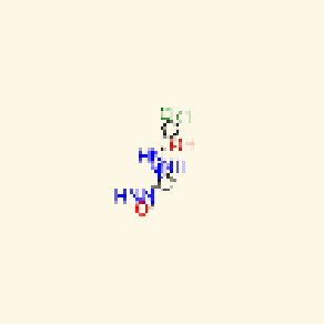 N=c1occn1Cc1cccc2[nH]c(NC(CO)Cc3ccc(Cl)c(Cl)c3)nc12